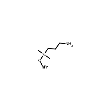 CCCO[Si](C)(C)CCCN